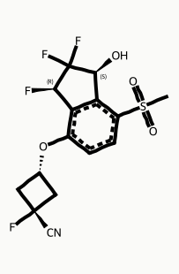 CS(=O)(=O)c1ccc(O[C@H]2C[C@](F)(C#N)C2)c2c1[C@H](O)C(F)(F)[C@@H]2F